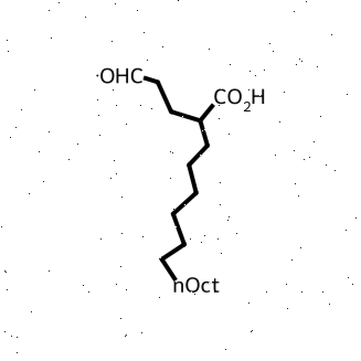 CCCCCCCCCCCCCCC(CC[C]=O)C(=O)O